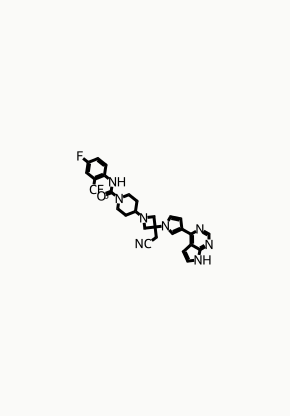 N#CCC1(n2ccc(-c3ncnc4[nH]ccc34)c2)CN(C2CCN(C(=O)Nc3ccc(F)cc3C(F)(F)F)CC2)C1